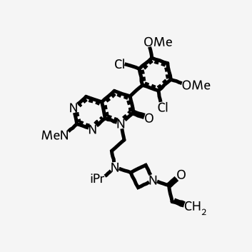 C=CC(=O)N1CC(N(CCn2c(=O)c(-c3c(Cl)c(OC)cc(OC)c3Cl)cc3cnc(NC)nc32)C(C)C)C1